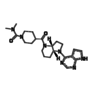 CN(C)C(=O)N1CCC(C(=O)N2CCC[C@@H]3[C@H]2CCN3c2ncnc3[nH]ccc23)CC1